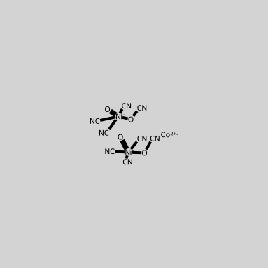 N#C[O][Ni-](=[O])([C]#N)([C]#N)[C]#N.N#C[O][Ni-](=[O])([C]#N)([C]#N)[C]#N.[Co+2]